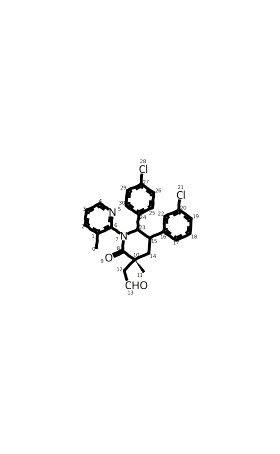 Cc1cccnc1N1C(=O)[C@@](C)(CC=O)CC(c2cccc(Cl)c2)C1c1ccc(Cl)cc1